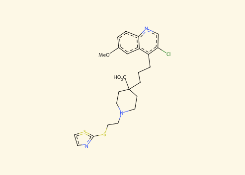 COc1ccc2ncc(Cl)c(CCCC3(C(=O)O)CCN(CCSc4nccs4)CC3)c2c1